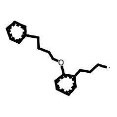 [CH2]CCCc1ccccc1OCCCCc1ccccc1